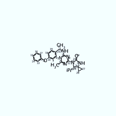 Cc1nc(N[C@@H](C)c2ccc(Oc3ccccc3)cc2)nc(N2C(=O)NC3(CC3)[C@@H]2C(C)C)n1